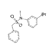 CC(C)c1cccc(N(C)S(=O)(=O)Cc2ccccc2)c1